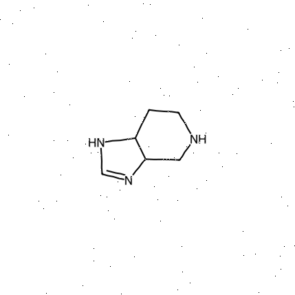 C1=NC2CNCCC2N1